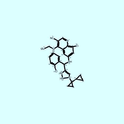 CC(C)(C)CNc1c(C#N)cnc2c(Cl)cc(NC(C3=CN(C4(C5CC5)CC4)NN3)c3ccccc3Cl)cc12